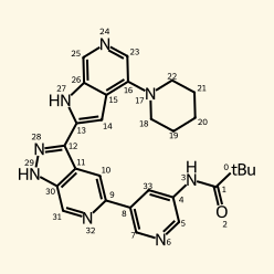 CC(C)(C)C(=O)Nc1cncc(-c2cc3c(-c4cc5c(N6CCCCC6)cncc5[nH]4)n[nH]c3cn2)c1